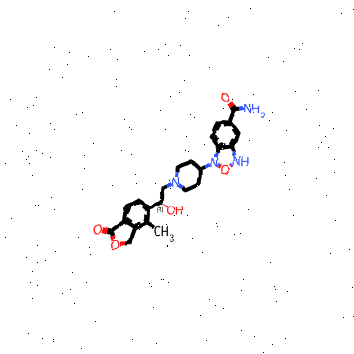 Cc1c([C@@H](O)CN2CCC(N3ONc4cc(C(N)=O)ccc43)CC2)ccc2c1COC2=O